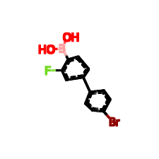 OB(O)c1ccc(-c2ccc(Br)cc2)cc1F